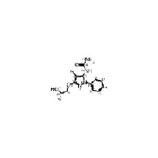 Cc1c(OC[C@H](C)O)nn(-c2ccccc2)c1NC(N)=O